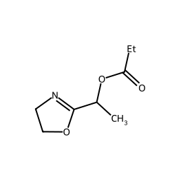 CCC(=O)OC(C)C1=NCCO1